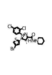 C[C@H]1C(C(=O)NN2CCCCC2)=NN(c2ccc(Cl)cc2Cl)[C@H]1c1cc(Br)cs1